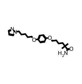 CC(C)(CCCCOc1ccc(OCCCCCn2cccn2)cc1)C(N)=O